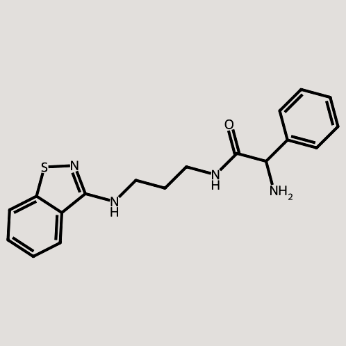 NC(C(=O)NCCCNc1nsc2ccccc12)c1ccccc1